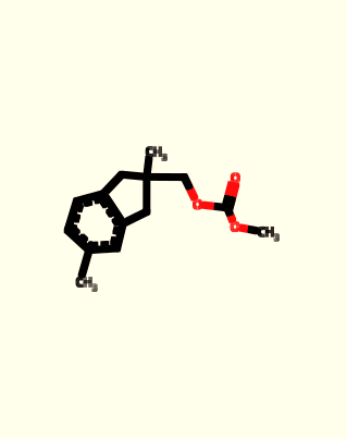 COC(=O)OCC1(C)Cc2ccc(C)cc2C1